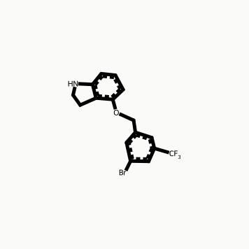 FC(F)(F)c1cc(Br)cc(COc2cccc3c2CCN3)c1